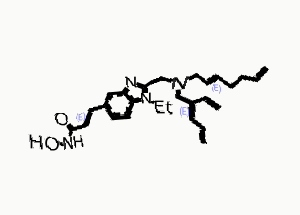 C=C/C=C(\C=C)CN(C/C=C/CCC=C)Cc1nc2cc(/C=C/C(=O)NO)ccc2n1CC